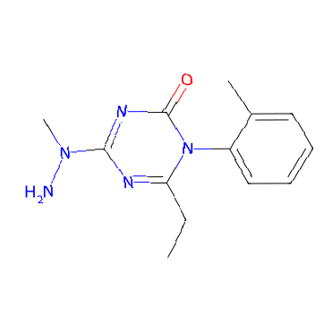 CCc1nc(N(C)N)nc(=O)n1-c1ccccc1C